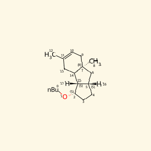 CCCCO[C@H]1CC[C@H]2C[C@]3(C)CC=C(C)CC3[C@H]21